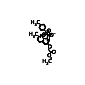 CCOC(=O)COc1cc([NH+]([O-])S(=O)(=O)c2ccc(C)cc2)c2nc(C)ccc2c1